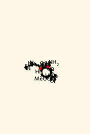 CC[C@H]1OC(=O)[C@](C)(F)C(=O)C[C@@H](O[C@@H]2O[C@H](C)CC(N(C)C)C2O)[C@](C)(OC)C[C@@H](C)CN[C@H](C)[C@H]2N(CCCCn3cc(-c4nccs4)nn3)C(=O)O[C@]12n1ccc(N)nc1=O